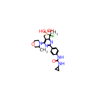 CC1COCCN1c1nc(-c2ccc(NC(=O)NC3CC3)cc2)nc2c1CS(O)(O)C2(C)F